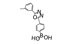 Cc1cccc(-c2nnc(-c3ccc(B(O)O)cc3)o2)c1